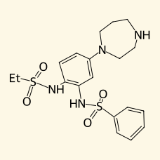 CCS(=O)(=O)Nc1ccc(N2CCCNCC2)cc1NS(=O)(=O)c1ccccc1